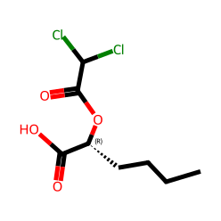 CCCC[C@@H](OC(=O)C(Cl)Cl)C(=O)O